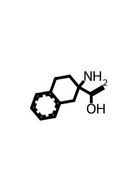 C=C(O)C1(N)CCc2ccccc2C1